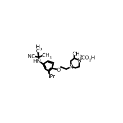 CC(C)c1cc(NC(C)(C)C#N)ccc1OCCN1CCN(C(=O)O)C(C)C1